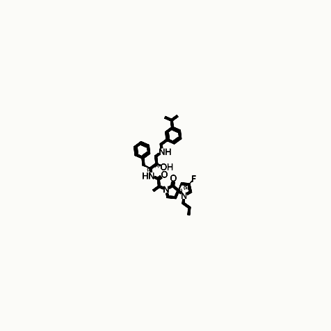 CCCN1C[C@@H](F)C[C@]12CCN(C(C)C(=O)N[C@@H](Cc1ccccc1)[C@H](O)CNCc1cccc(C(C)C)c1)C2=O